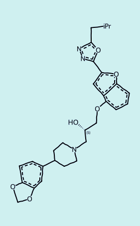 CC(C)Cc1nnc(-c2cc3c(OC[C@@H](O)CN4CCC(c5ccc6c(c5)OCO6)CC4)cccc3o2)o1